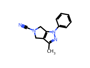 Cc1nn(-c2ccccc2)c2c1CN(C#N)C2